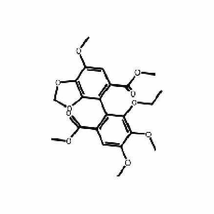 CCOc1c(OC)c(OC)cc(C(=O)OC)c1-c1c(C(=O)OC)cc(OC)c2c1OCO2